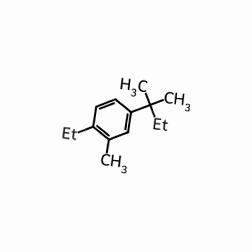 CCc1ccc(C(C)(C)CC)cc1C